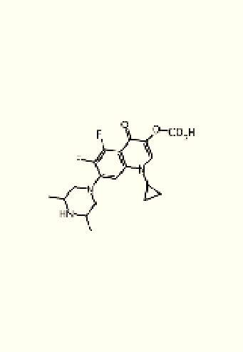 CC1CN(c2cc3c(c(F)c2F)c(=O)c(OC(=O)O)cn3C2CC2)CC(C)N1